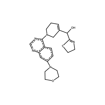 OC(C1=CCCN(c2ncnc3cc(N4CCOCC4)ccc23)C1)C1=NCCS1